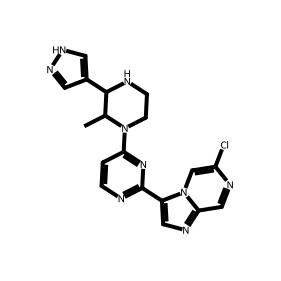 CC1C(c2cn[nH]c2)NCCN1c1ccnc(-c2cnc3cnc(Cl)cn23)n1